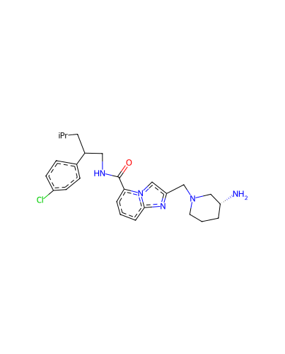 CC(C)CC(CNC(=O)c1cccc2nc(CN3CCC[C@@H](N)C3)cn12)c1ccc(Cl)cc1